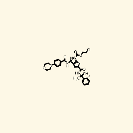 CC(C)(NC(=O)c1cc2c(NC(=O)c3ccc(N4CCOCC4)cc3)nn(C(=O)OCCCl)c2s1)c1ccccc1